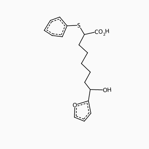 O=C(O)C(CCCCCC(O)c1ccco1)Sc1ccccc1